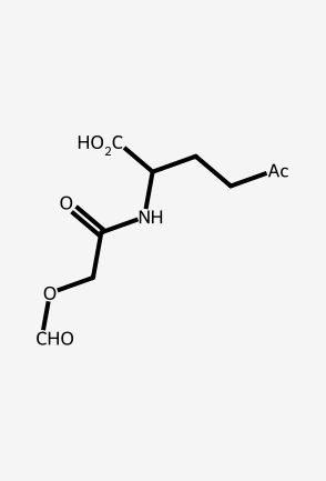 CC(=O)CCC(NC(=O)COC=O)C(=O)O